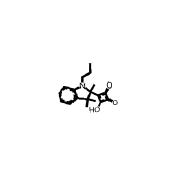 CCCN1c2ccccc2C(C)(C)C1(C)c1c(O)c(=O)c1=O